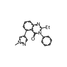 CCc1nc2cccc(-c3cnn(C)c3)c2c(=O)n1-c1ccccc1